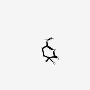 CCC1(C)CCC(OC(C)C)=NC1=O